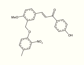 COc1ccc(/C=C/C(=O)c2ccc(O)cc2)cc1COc1ccc(C)cc1[N+](=O)[O-]